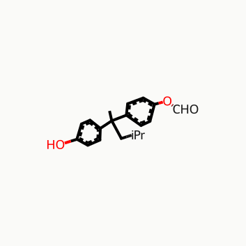 CC(C)CC(C)(c1ccc(O)cc1)c1ccc(OC=O)cc1